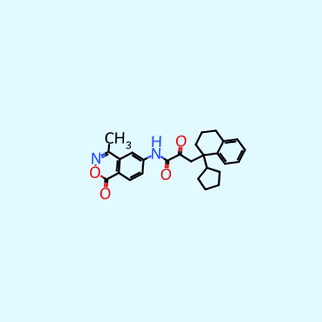 Cc1noc(=O)c2ccc(NC(=O)C(=O)CC3(C4CCCC4)CCCc4ccccc43)cc12